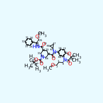 COCCCN1C(=O)C(C)(C)Oc2ccc(N(C(=O)[C@@H]3C[C@H](C(=O)N[C@H](COC)c4ccccc4)CN(C(=O)OC(C)(C)C)C3)C3CC3)cc21